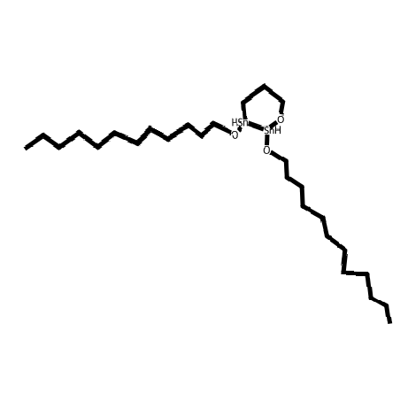 CCCCCCCCCCCC[O][SnH]1[CH2]CC[O][SnH]1[O]CCCCCCCCCCCC